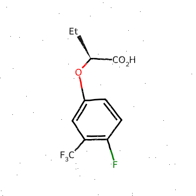 CC[C@H](Oc1ccc(F)c(C(F)(F)F)c1)C(=O)O